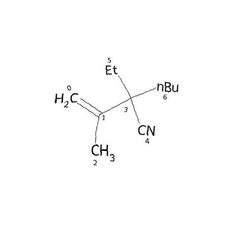 C=C(C)C(C#N)(CC)CCCC